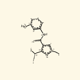 Cn1cc(C(=O)Nc2cccc(O)c2)c(C(F)F)n1